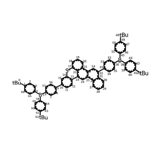 CC(C)(C)c1ccc(B(c2ccc(-c3ccc4c(c3)Sc3cccc5c3c-4cc3c4ccccc4c(-c4ccc(B(c6ccc(C(C)(C)C)cc6)c6ccc(C(C)(C)C)cc6)cc4)cc53)cc2)c2ccc(C(C)(C)C)cc2)cc1